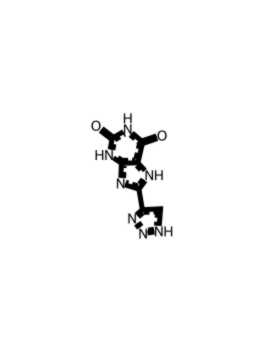 O=c1[nH]c(=O)c2[nH]c(-c3c[nH]nn3)nc2[nH]1